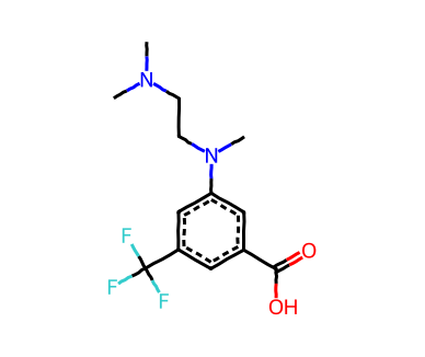 CN(C)CCN(C)c1cc(C(=O)O)cc(C(F)(F)F)c1